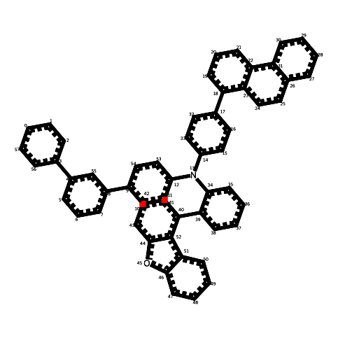 c1ccc(-c2cccc(-c3ccc(N(c4ccc(-c5cccc6c5ccc5ccccc56)cc4)c4ccccc4-c4cccc5oc6ccccc6c45)cc3)c2)cc1